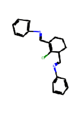 ClC1=C(/C=N/c2ccccc2)CCCC1/C=N/c1ccccc1